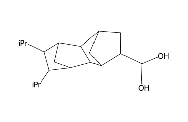 CC(C)C1C2CC(C1C(C)C)C1C3CC(CC3C(O)O)C21